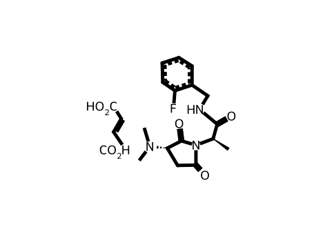 C[C@H](C(=O)NCc1ccccc1F)N1C(=O)C[C@H](N(C)C)C1=O.O=C(O)/C=C/C(=O)O